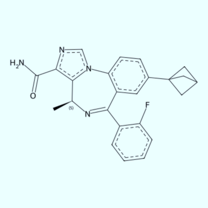 C[C@@H]1N=C(c2ccccc2F)c2cc(C34CC(C3)C4)ccc2-n2cnc(C(N)=O)c21